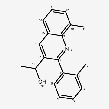 Cc1ccccc1-c1nc2c(C)cccc2cc1C(C)O